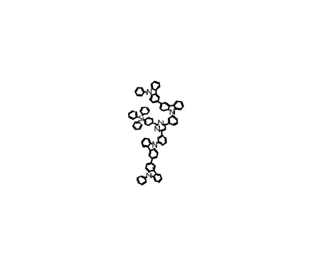 c1ccc(-n2c3ccccc3c3cc(-c4ccc5c(c4)c4ccccc4n5-c4cccc(-c5cc(-c6cccc(-n7c8ccccc8c8cc(-c9ccc%10c(c9)c9ccccc9n%10-c9ccccc9)ccc87)c6)nc(-c6ccc([Si](c7ccccc7)(c7ccccc7)c7ccccc7)cc6)n5)c4)ccc32)cc1